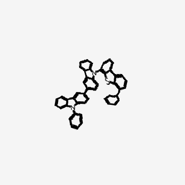 c1ccc(-c2cccc3c2sc2c(-n4c5ccccc5c5cc(-c6ccc7c(c6)c6ccccc6n7-c6ccccc6)ccc54)cccc23)cc1